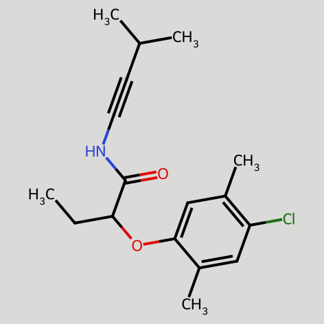 CCC(Oc1cc(C)c(Cl)cc1C)C(=O)NC#CC(C)C